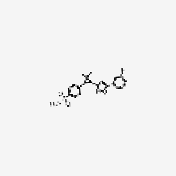 CC1(C)C(c2ccc(S(N)(=O)=O)cc2)C1c1cc(-c2cccc(F)c2)on1